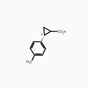 Cc1ccc([C@@H]2CC2C(=O)O)cc1